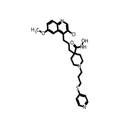 COc1ccc2ncc(Cl)c(CCCC3(C(=O)NO)CCN(CCCSc4ccncc4)CC3)c2c1